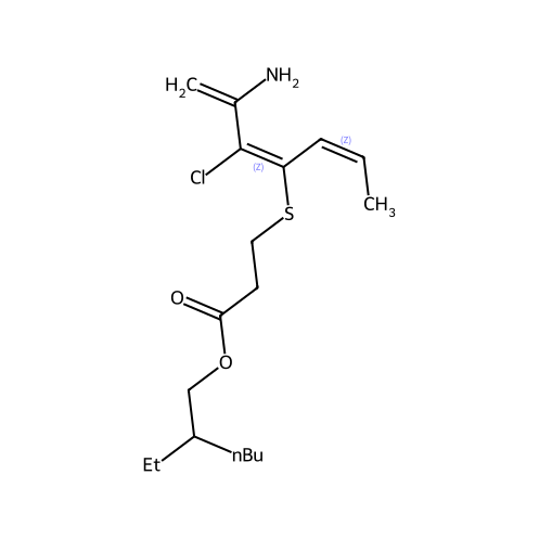 C=C(N)/C(Cl)=C(\C=C/C)SCCC(=O)OCC(CC)CCCC